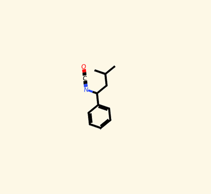 CC(C)CC(N=C=O)c1cc[c]cc1